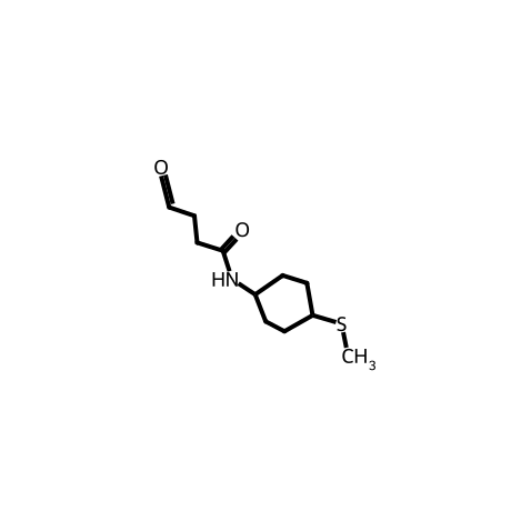 CSC1CCC(NC(=O)CCC=O)CC1